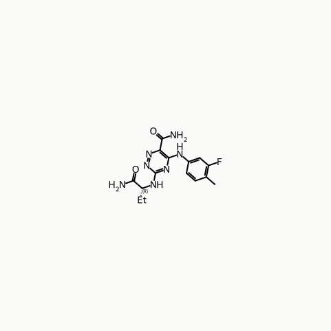 CC[C@@H](Nc1nnc(C(N)=O)c(Nc2ccc(C)c(F)c2)n1)C(N)=O